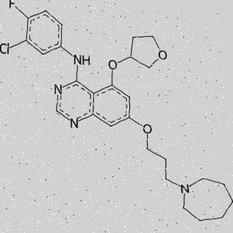 Fc1ccc(Nc2ncnc3cc(OCCCN4CCCCCC4)cc(OC4CCOC4)c23)cc1Cl